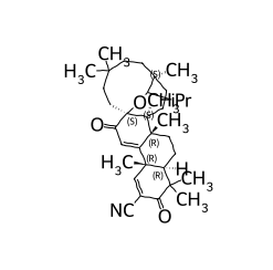 CC(C)C1O[C@@]23CCC(C)(C)CC[C@@]1(C)CC[C@@]2(C)[C@]1(C)CC[C@H]2C(C)(C)C(=O)C(C#N)=C[C@]2(C)C1=CC3=O